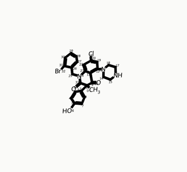 CC1(c2ccc(O)cc2)C(=O)c2c(N3CCNCC3)cc(Cl)cc2N(Cc2ccccc2Br)C1=O